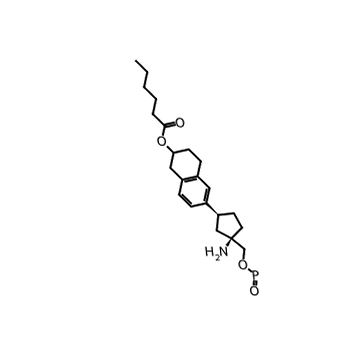 CCCCCC(=O)OC1CCc2cc([C@H]3CC[C@](N)(COP=O)C3)ccc2C1